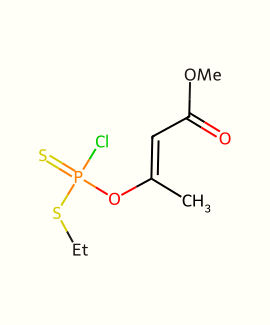 CCSP(=S)(Cl)OC(C)=CC(=O)OC